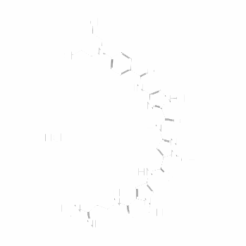 Cl.Cn1cc(NC(=O)c2cc(NC(=O)c3nc(NC(=O)c4ccc(N(CCCl)CCCl)cc4)cn3C)nn2C)cc1C(=O)NCCC(=N)N